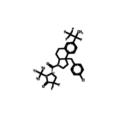 [2H]C([2H])([2H])N1C(=O)C(F)(F)C[C@H]1C(=O)N1CCC2(Cc3ccc(Cl)cc3)c3ccc(C(C)(F)C(F)(F)F)cc3CCC12